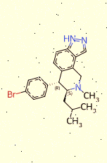 CC(C)C[C@H]1[C@H](c2ccc(Br)cc2)c2ccc3[nH]ncc3c2CN1C